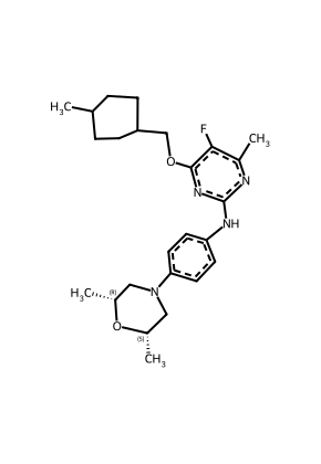 Cc1nc(Nc2ccc(N3C[C@@H](C)O[C@@H](C)C3)cc2)nc(OCC2CCC(C)CC2)c1F